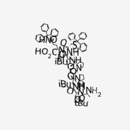 CC[C@H](C)[C@H](NC(=O)[C@@H]1CCCN1C(=O)[C@@H]1CCCN1C(=O)[C@@H](NC(=O)[C@H](COC(C)(C)C)NC(=O)[C@H](C)N)[C@@H](C)CC)C(=O)N[C@@H](CSC(c1ccccc1)(c1ccccc1)c1ccccc1)C(=O)N[C@@H](CCC(=O)NC(c1ccccc1)(c1ccccc1)c1ccccc1)C(=O)O